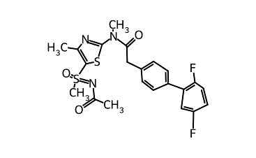 CC(=O)N=S(C)(=O)c1sc(N(C)C(=O)Cc2ccc(-c3cc(F)ccc3F)cc2)nc1C